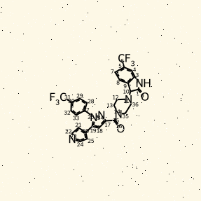 O=C1Nc2cc(C(F)(F)F)ccc2C1N1CCN(C(=O)c2cc(-c3ccncc3)n(-c3ccc(C(F)(F)F)cc3)n2)CC1